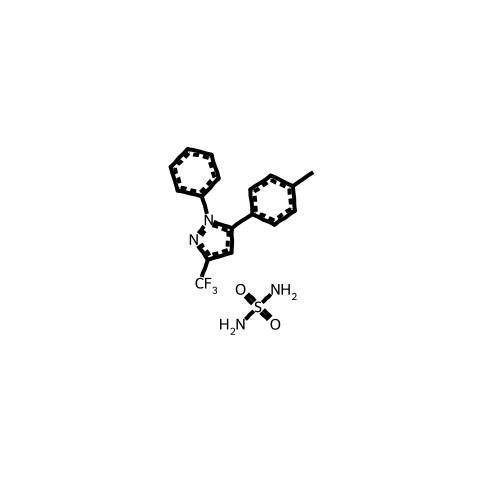 Cc1ccc(-c2cc(C(F)(F)F)nn2-c2ccccc2)cc1.NS(N)(=O)=O